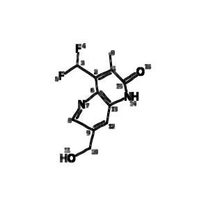 Cc1c(C(F)F)c2ncc(CO)cc2[nH]c1=O